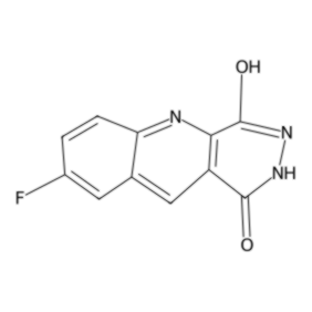 O=c1[nH]nc(O)c2nc3ccc(F)cc3cc12